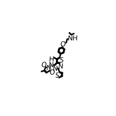 CC1=CC(=O)N(Nc2nc(-c3cccs3)nc3sc(-c4ccc(OCCNC(C)C)cc4)c(C)c23)C1=O